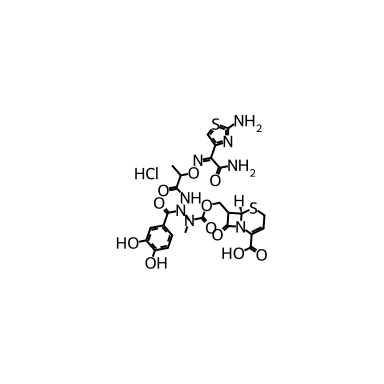 CC(ON=C(C(N)=O)c1csc(N)n1)C(=O)NN(C(=O)c1ccc(O)c(O)c1)N(C)C(=O)OCC1C(=O)N2C(C(=O)O)=CCS[C@@H]12.Cl